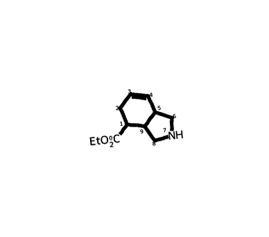 CCOC(=O)C1CC=CC2CNCC21